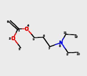 C=C(OC)OCCCN(CC)CC